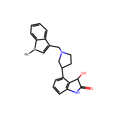 N#CB1C=C(CN2CCC(c3cccc4c3C(O)C(=O)N4)C2)c2ccccc21